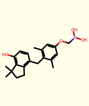 Cc1cc(OCP(O)O)cc(C)c1Cc1ccc(O)c2c1CCC2(C)C